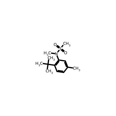 Cc1ccc(C(C)(C)C)c(N(C)S(C)(=O)=O)c1